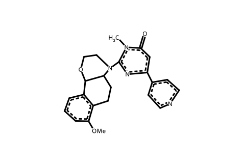 COc1cccc2c1CCC1C2OCCN1c1nc(-c2ccncc2)cc(=O)n1C